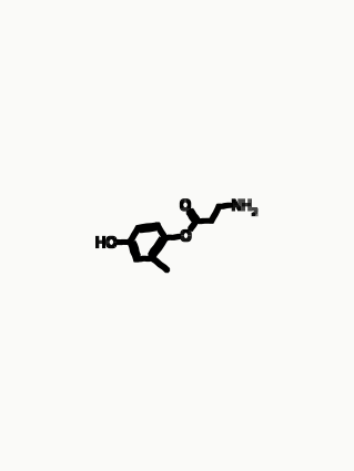 Cc1cc(O)ccc1OC(=O)CCN